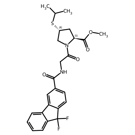 COC(=O)[C@@H]1C[C@@H](SC(C)C)CN1C(=O)CNC(=O)c1ccc2c(c1)-c1ccccc1C2(F)F